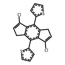 ClC1=CCc2c1c(-c1cccs1)c1c(c2-c2cccs2)C(Cl)=CC1